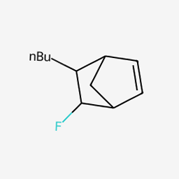 CCCCC1C2C=CC(C2)C1F